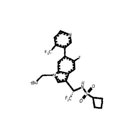 CC(C)(C)Cn1cc([C@H](NS(=O)(=O)C2CCC2)C(F)(F)F)c2cc(F)c(-c3cnccc3C(F)(F)F)cc21